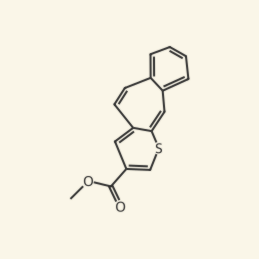 COC(=O)C1=CSC2=Cc3ccccc3C=CC2=C1